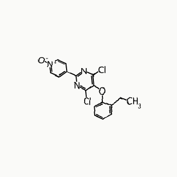 CCc1ccccc1Oc1c(Cl)nc(-c2cc[n+]([O-])cc2)nc1Cl